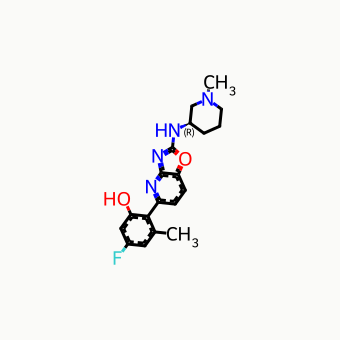 Cc1cc(F)cc(O)c1-c1ccc2oc(N[C@@H]3CCCN(C)C3)nc2n1